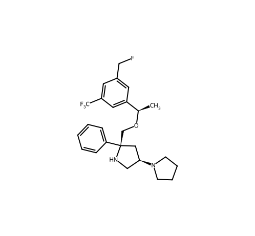 C[C@@H](OC[C@@]1(c2ccccc2)C[C@@H](N2CCCC2)CN1)c1cc(CF)cc(C(F)(F)F)c1